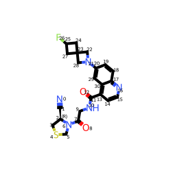 N#C[C@@H]1CSCN1C(=O)CNC(=O)c1ccnc2ccc(N3CC4(CC(F)C4)C3)cc12